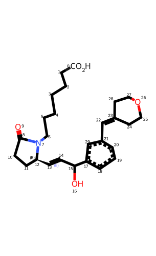 O=C(O)CCCCCCN1C(=O)CC[C@@H]1/C=C/C(O)c1cccc(C=C2CCOCC2)c1